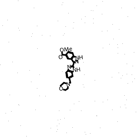 COC(=O)c1ccc2[nH]nc(-c3nc4ccc(CN5CCOCC5)cc4[nH]3)c2c1